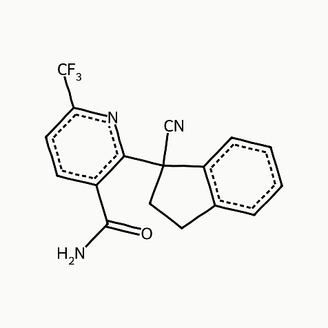 N#CC1(c2nc(C(F)(F)F)ccc2C(N)=O)CCc2ccccc21